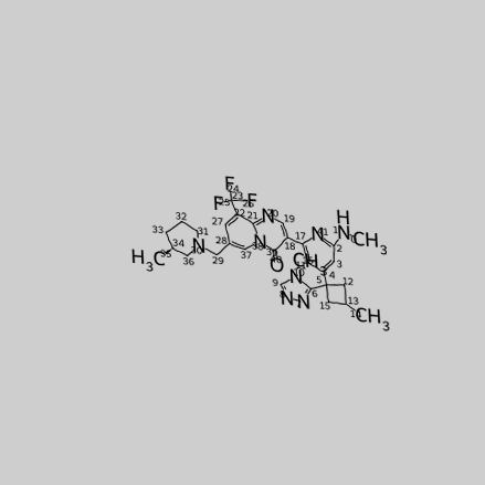 CNc1cc(C2(c3nncn3C)CC(C)C2)cc(-c2cnc3c(C(F)(F)F)cc(CN4CCC[C@H](C)C4)cn3c2=O)n1